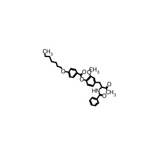 CCCCCCCOc1ccc(C(=O)Oc2ccc(CC(NC(=O)c3ccccc3)C(C)=O)cc2OC)cc1